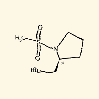 CC(C)(C)C[C@@H]1CCCN1S(C)(=O)=O